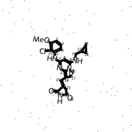 COc1cccc(Nc2cc(NCC3CC3)n3ncc(C=C4CC(=O)NC4=O)c3n2)c1Cl